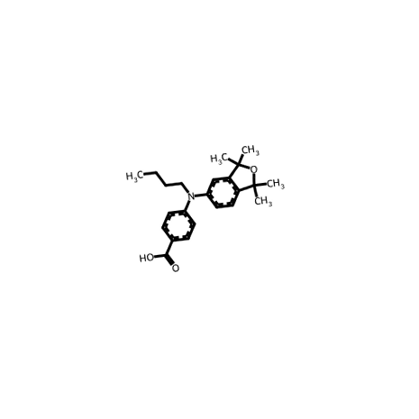 CCCCN(c1ccc(C(=O)O)cc1)c1ccc2c(c1)C(C)(C)OC2(C)C